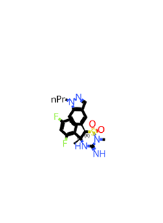 CCCn1ncc2cc([C@@H]3[C@@](C)(c4ccc(F)cc4F)NC(=N)N(C)S3(=O)=O)ccc21